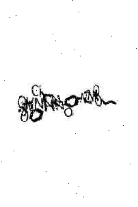 CCCCOC(=O)N1CCN(c2ccc(Nc3ncc(Cl)c(Nc4ccccc4N(C)S(C)(=O)=O)n3)c(OC)c2)CC1